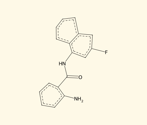 Nc1ccccc1C(=O)Nc1cc(F)cc2ccccc12